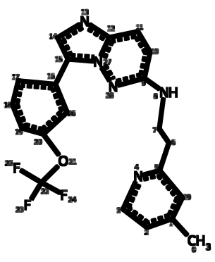 Cc1ccnc(CCNc2ccc3ncc(-c4cccc(OC(F)(F)F)c4)n3n2)c1